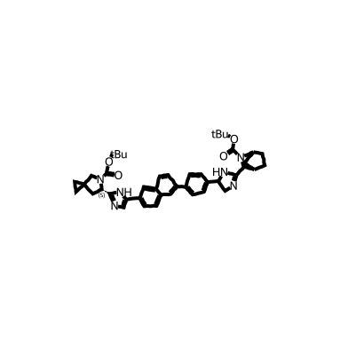 CC(C)(C)OC(=O)N1C2CCC(C2)C1C1=NCC(c2ccc(-c3ccc4cc(-c5cnc([C@@H]6CC7(CC7)CN6C(=O)OC(C)(C)C)[nH]5)ccc4c3)cc2)N1